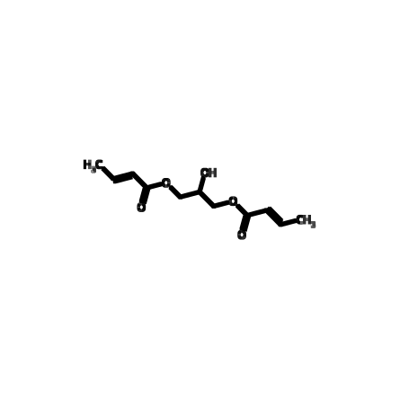 CC=CC(=O)OCC(O)COC(=O)C=CC